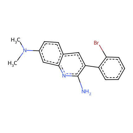 CN(C)c1ccc2cc(-c3ccccc3Br)c(N)nc2c1